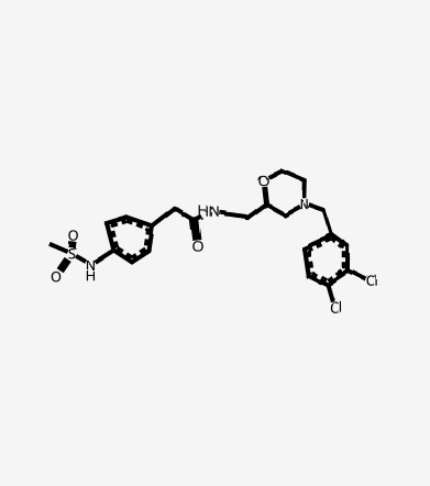 CS(=O)(=O)Nc1ccc(CC(=O)NCC2CN(Cc3ccc(Cl)c(Cl)c3)CCO2)cc1